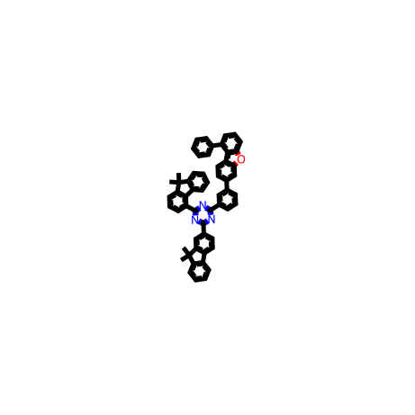 CC1(C)c2ccccc2-c2ccc(-c3nc(-c4cccc(-c5ccc6c(c5)oc5cccc(-c7ccccc7)c56)c4)nc(-c4cccc5c4-c4ccccc4C5(C)C)n3)cc21